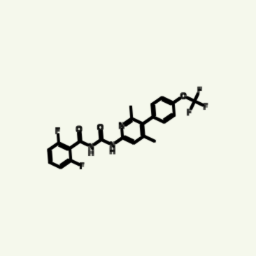 Cc1cc(NC(=O)NC(=O)c2c(F)cccc2F)nc(C)c1-c1ccc(OC(F)(F)F)cc1